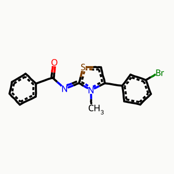 Cn1c(-c2cccc(Br)c2)csc1=NC(=O)c1ccccc1